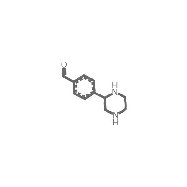 O=Cc1ccc(C2CNCCN2)cc1